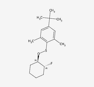 Cc1cc(C(C)(C)C)cc(C)c1SO[C@@H]1CCCC[C@H]1F